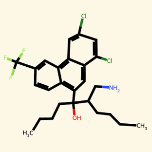 CCCCC(CN)C(O)(CCCC)c1cc2c(Cl)cc(Cl)cc2c2cc(C(F)(F)F)ccc12